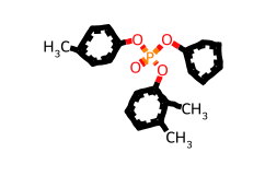 Cc1ccc(OP(=O)(Oc2ccccc2)Oc2cccc(C)c2C)cc1